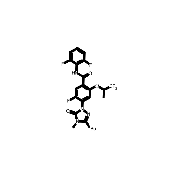 CCC(C)c1nn(-c2cc(OC(C)C(F)(F)F)c(C(=O)Nc3c(F)cccc3F)cc2F)c(=O)n1C